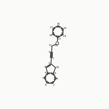 C(#CC1=Cc2ccccc2C1)COc1ccccc1